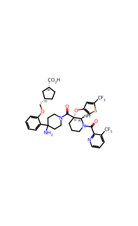 CCC[C@H]1N(C(=O)c2ncccc2C(F)(F)F)CCC[C@@]1(Oc1csc(C(F)(F)F)c1)C(=O)N1CCC(N)(c2ccccc2OC[C@H]2CC[C@@H](C(=O)O)C2)CC1